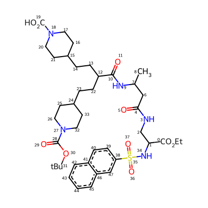 CCOC(=O)C(CNC(=O)CC(C)NC(=O)C(CCC1CCN(C(=O)O)CC1)CCC1CCN(C(=O)OC(C)(C)C)CC1)NS(=O)(=O)c1ccc2ccccc2c1